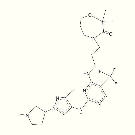 Cc1nn(C2CCN(C)C2)cc1Nc1ncc(C(F)(F)F)c(NCCCN2CCCOC(C)(C)C2=O)n1